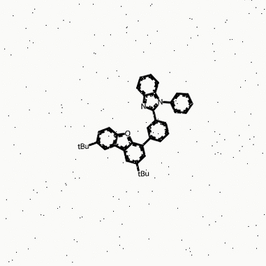 CC(C)(C)c1ccc2oc3c(-c4cccc(-c5nc6ccccc6n5-c5ccccc5)c4)cc(C(C)(C)C)cc3c2c1